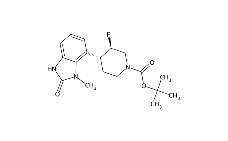 Cn1c(=O)[nH]c2cccc([C@H]3CCN(C(=O)OC(C)(C)C)C[C@@H]3F)c21